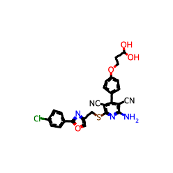 N#Cc1c(N)nc(SCc2coc(-c3ccc(Cl)cc3)n2)c(C#N)c1-c1ccc(OCCC(O)O)cc1